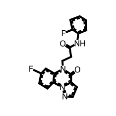 O=C(CCn1c(=O)c2ccnn2c2ccc(F)cc21)Nc1ccccc1F